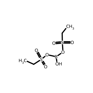 CCS(=O)(=O)OB(O)OS(=O)(=O)CC